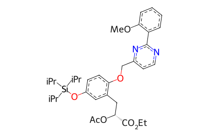 CCOC(=O)[C@@H](Cc1cc(O[Si](C(C)C)(C(C)C)C(C)C)ccc1OCc1ccnc(-c2ccccc2OC)n1)OC(C)=O